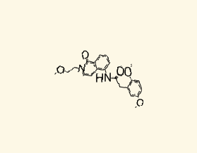 COCCn1ccc2c(NC(=O)Cc3cc(OC)ccc3OC)cccc2c1=O